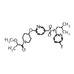 COC(C)C(=O)N1CCC(Oc2ccc(S(=O)(=O)N(CC(C)C)c3ccc(F)cn3)cn2)CC1